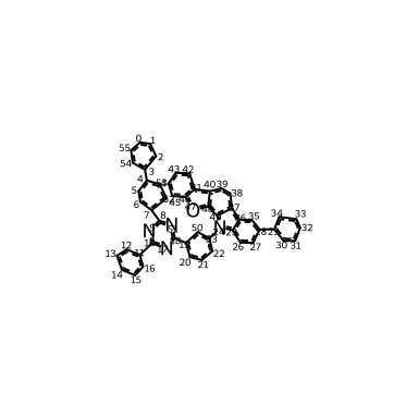 c1ccc(-c2ccc(-c3nc(-c4ccccc4)nc(-c4cccc(-n5c6ccc(-c7ccccc7)cc6c6ccc7c8ccccc8oc7c65)c4)n3)cc2)cc1